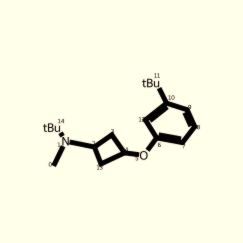 CN(C1CC(Oc2cccc(C(C)(C)C)c2)C1)C(C)(C)C